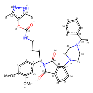 COc1ccc([C@@H](CCCNC(=O)Oc2c(C)n[nH]c2C)N2C(=O)c3cccc(N4CCN([C@H](C)c5ccccc5)CC4)c3C2=O)cc1OC